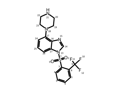 O=S(=O)(c1ccccc1C(F)(F)F)n1cnc2c(N3CCNCC3)cccc21